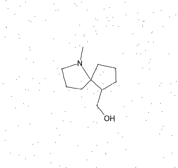 CN1CCCC12CCCC2CO